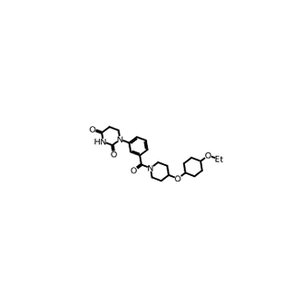 CCOC1CCC(OC2CCN(C(=O)c3cccc(N4CCC(=O)NC4=O)c3)CC2)CC1